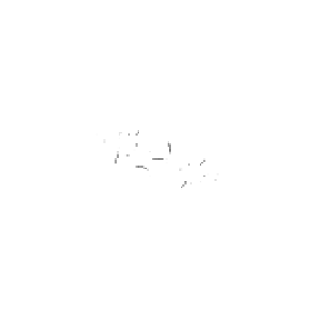 CC(C)[C@@H]1NC(=O)[C@H](CC(C(=O)O)=C(C[C@@H]2NC(=O)[C@H](C(C)C)NC2=O)C(=O)O)NC1=O